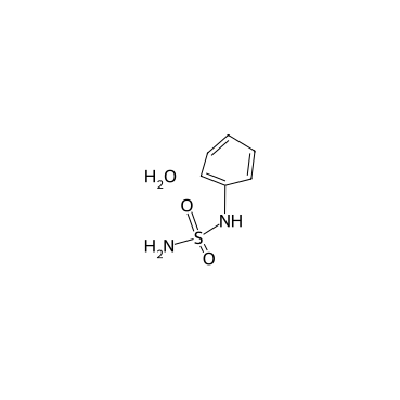 NS(=O)(=O)Nc1ccccc1.O